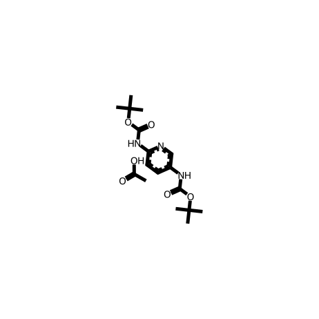 CC(=O)O.CC(C)(C)OC(=O)Nc1ccc(NC(=O)OC(C)(C)C)nc1